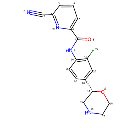 N#Cc1cccc(C(=O)Nc2ccc([C@H]3CNCCO3)cc2F)n1